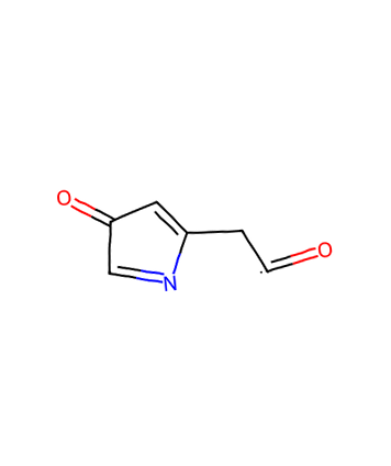 O=[C]CC1=CC(=O)C=N1